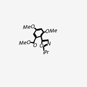 COC(=O)c1cc(OC)cc(OC)c1-c1cnc(C(C)C)o1